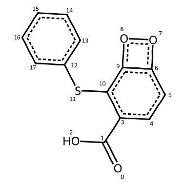 O=C(O)c1ccc2ooc2c1Sc1ccccc1